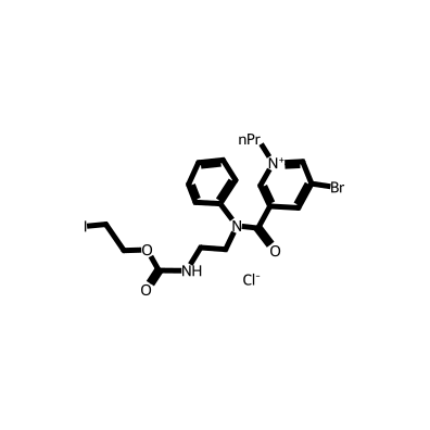 CCC[n+]1cc(Br)cc(C(=O)N(CCNC(=O)OCCI)c2ccccc2)c1.[Cl-]